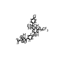 CCC(C)(Nc1nc(Nc2ccc(C(=O)NS(=O)(=O)C3CC3)cc2)nc(OCC(F)(F)F)n1)c1ccc(Cl)cc1